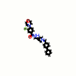 O=C(NCC1C2CN(Cc3ccc(-c4ccccc4)cc3)CC12)c1ccc(N2CCOCC2)c(F)c1